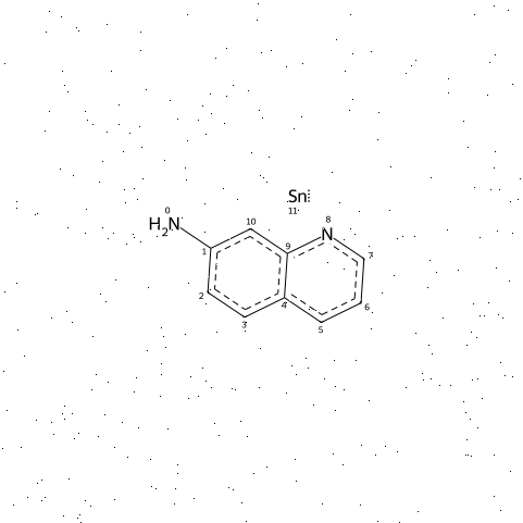 Nc1ccc2cccnc2c1.[Sn]